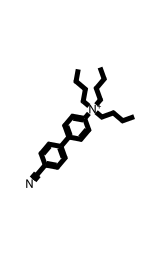 CCCC[N+](CCCC)(CCCC)c1ccc(-c2ccc(C#N)cc2)cc1